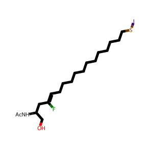 CC(=O)NC(CO)C/C(F)=C/CCCCCCCCCCCCSI